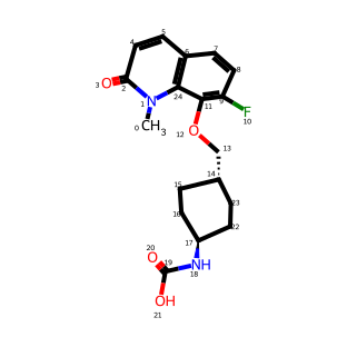 Cn1c(=O)ccc2ccc(F)c(OC[C@H]3CC[C@H](NC(=O)O)CC3)c21